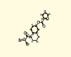 O=C(Oc1ccc2c(c1)CCCN2C(=O)C(Br)Br)c1ccco1